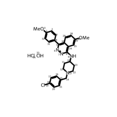 COc1ccc(-c2nnc(NC3CCN(Cc4ccc(Cl)cc4)CC3)c3cc(OC)ccc23)cc1.Cl.Cl